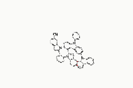 N#Cc1ccc2c(c1)nc1c3c4c5cc(-n6c7ccccc7c7ccccc76)ccc5n(-c5ccccc5)c4ccc3n3c4cc(C#N)ccc4nc3c3ccccc3n21